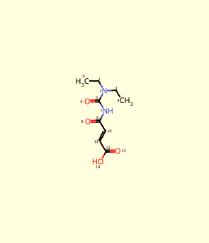 CCN(CC)C(=O)NC(=O)C=CC(=O)O